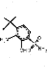 CC(C)(C)c1ccc(S(N)(=O)=O)c(O)c1N